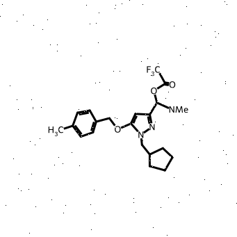 CNC(OC(=O)C(F)(F)F)c1cc(OCc2ccc(C)cc2)n(CC2CCCC2)n1